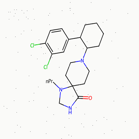 CCCN1CNC(=O)C12CCN(C1CCCCC1c1ccc(Cl)c(Cl)c1)CC2